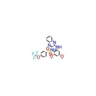 COc1cc(Nc2nc3ccccc3nc2NS(=O)(=O)c2ccc(OC(F)(F)F)cc2)cc(OC)c1